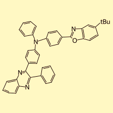 CC(C)(C)c1ccc2oc(-c3ccc(N(c4ccccc4)c4ccc(-c5nc6ccccc6nc5-c5ccccc5)cc4)cc3)nc2c1